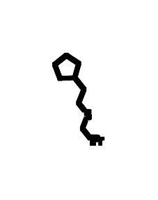 CC(C)CSCCC1CCCC1